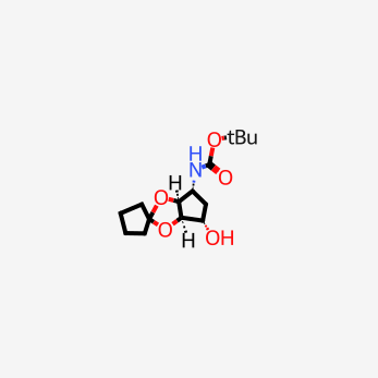 CC(C)(C)OC(=O)N[C@@H]1C[C@H](O)[C@H]2OC3(CCCC3)O[C@H]21